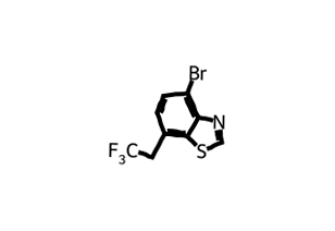 FC(F)(F)Cc1ccc(Br)c2ncsc12